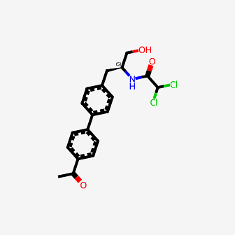 CC(=O)c1ccc(-c2ccc(C[C@@H](CO)NC(=O)C(Cl)Cl)cc2)cc1